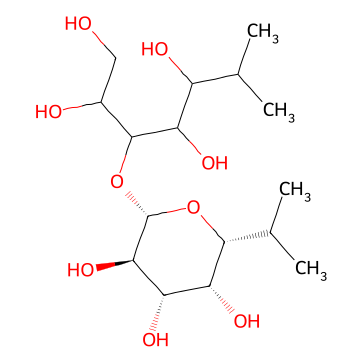 CC(C)C(O)C(O)C(O[C@@H]1O[C@H](C(C)C)[C@H](O)[C@H](O)[C@H]1O)C(O)CO